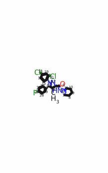 C[C@@H]1C(C(=O)NN2CCCCC2)=NN(c2ccc(Cl)cc2Cl)[C@@H]1c1ccc(F)cc1